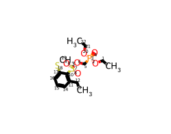 CCOP(=O)(COS(=O)(=O)c1c(CC)cccc1SC)OCC